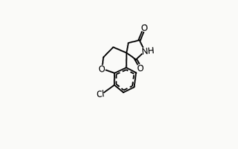 O=C1CC2(CCOc3c(Cl)cccc32)C(=O)N1